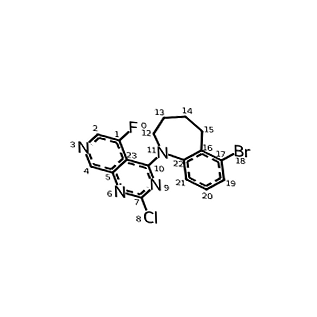 Fc1cncc2nc(Cl)nc(N3CCCCc4c(Br)cccc43)c12